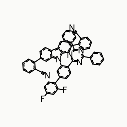 N#Cc1ccccc1-c1ccc2c3ccc(-c4ccccc4C#N)cc3n(-c3cc(-c4ccc(F)cc4F)ccc3-c3nc(-c4ccccc4)nc(-c4ccccc4)n3)c2c1